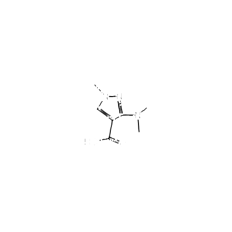 CN(C)c1nn(C)cc1C(=O)O